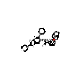 O=C(Nc1cc2sc(N3CCOCC3)nc2nc1N1CCCCC1)c1cccc(N2C3CCC2CC(O)C3)n1